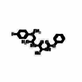 CC[C@H](C)[C@H](NC(=O)Oc1ccccc1)C(=O)NC(C)CN(C)c1ccc(F)cc1